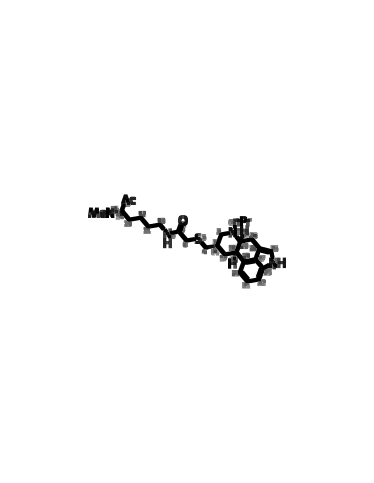 CCCN1C[C@H](CSCC(=O)NCCCC[C@H](NC)C(C)=O)C[C@@H]2c3cccc4[nH]cc(c34)C[C@H]21